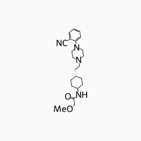 COCC(=O)N[C@H]1CC[C@H](CCN2CCN(c3ccccc3C#N)CC2)CC1